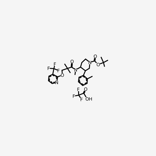 Cc1ccccc1C1CN(C(=O)OC(C)(C)C)CCC1N(C)C(=O)C(C)(C)COc1ncccc1C(F)(F)F.O=C(O)C(F)(F)F